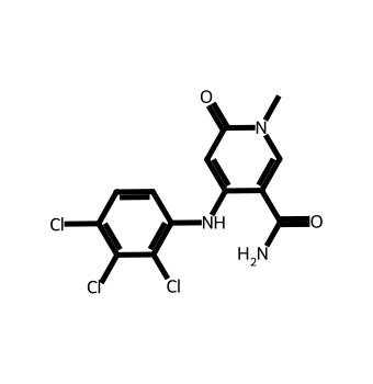 Cn1cc(C(N)=O)c(Nc2ccc(Cl)c(Cl)c2Cl)cc1=O